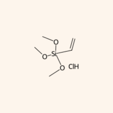 C=C[Si](OC)(OC)OC.Cl